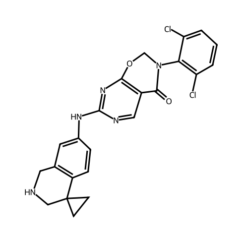 O=C1c2cnc(Nc3ccc4c(c3)CNCC43CC3)nc2OCN1c1c(Cl)cccc1Cl